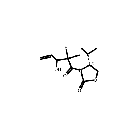 C=CC(O)C(C)(F)C(=O)N1C(=O)OC[C@H]1C(C)C